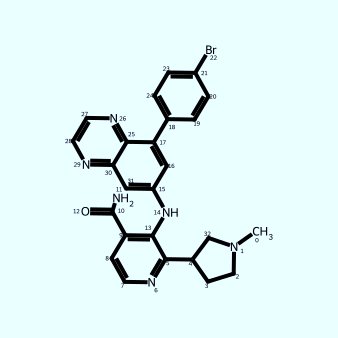 CN1CCC(c2nccc(C(N)=O)c2Nc2cc(-c3ccc(Br)cc3)c3nccnc3c2)C1